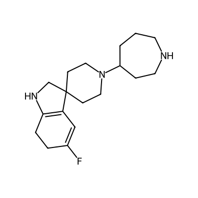 FC1=CC2=C(CC1)NCC21CCN(C2CCCNCC2)CC1